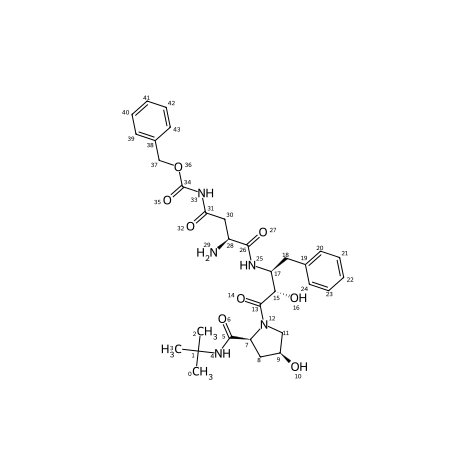 CC(C)(C)NC(=O)[C@@H]1C[C@H](O)CN1C(=O)[C@@H](O)[C@H](Cc1ccccc1)NC(=O)[C@@H](N)CC(=O)NC(=O)OCc1ccccc1